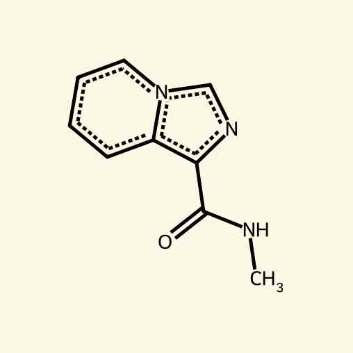 CNC(=O)c1ncn2ccccc12